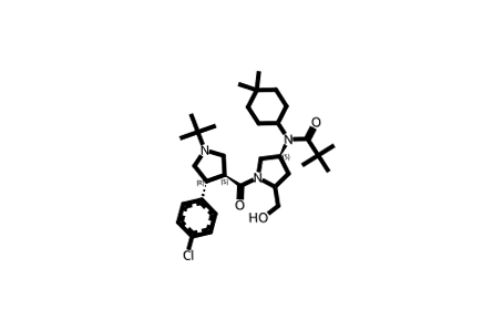 CC1(C)CCC(N(C(=O)C(C)(C)C)[C@H]2CC(CO)N(C(=O)[C@@H]3CN(C(C)(C)C)C[C@H]3c3ccc(Cl)cc3)C2)CC1